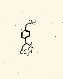 C[Si](C)(C)C(CC(=O)O)c1ccc(CO)cc1